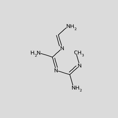 C\N=C(N)/N=C(N)\N=C\N